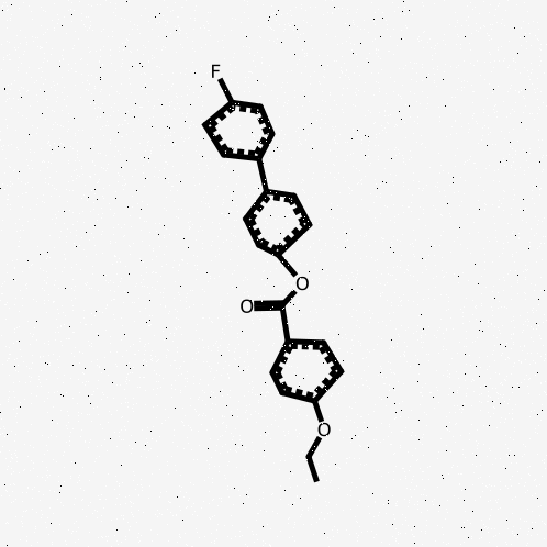 CCOc1ccc(C(=O)Oc2ccc(-c3ccc(F)cc3)cc2)cc1